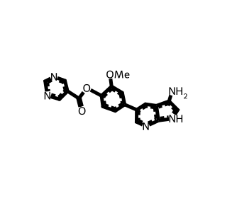 COc1cc(-c2cnc3[nH]cc(N)c3c2)ccc1OC(=O)c1cncnc1